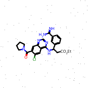 CCOC(=O)CC(Nc1ncnc2cc(C(=O)N3CCCC3)c(Cl)cc12)c1cccc(C(=N)N)c1